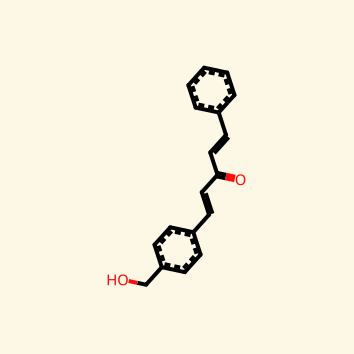 O=C(/C=C/c1ccccc1)/C=C/c1ccc(CO)cc1